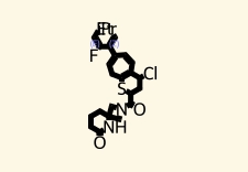 CC/C=C(C1=CCC2=C(C=C1)C(Cl)CC(C(=O)N1CC3(CCCC(=O)N3)C1)S2)\C(F)=C/C(C)C